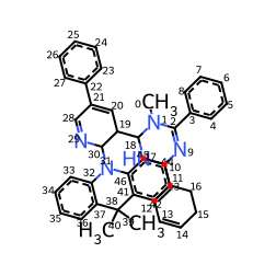 CN1C(c2ccccc2)=NC(C2=CC=CCC2)NC1C1C=C(c2ccccc2)C=NC1N1c2ccccc2C(C)(C)c2ccccc21